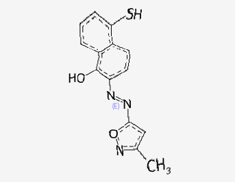 Cc1cc(/N=N/c2ccc3c(S)cccc3c2O)on1